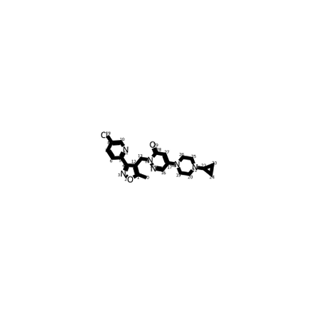 Cc1onc(-c2ccc(Cl)cn2)c1Cn1ncc(N2CCN(C3CC3)CC2)cc1=O